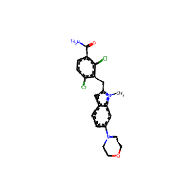 Cn1c(Cc2c(Cl)ccc(C(N)=O)c2Cl)cc2ccc(N3CCOCC3)cc21